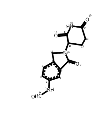 O=CNc1ccc2c(c1)C(=O)N(C1CCC(=O)NC1=O)C2